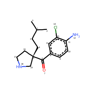 CC(C)CC[C@]1(C(=O)c2ccc(N)c(Cl)c2)CCNC1